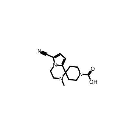 CN1CCn2c(C#N)ccc2C12CCN(C(=O)O)CC2